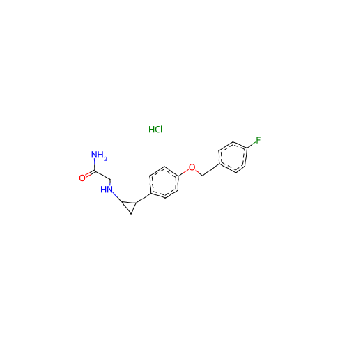 Cl.NC(=O)CNC1CC1c1ccc(OCc2ccc(F)cc2)cc1